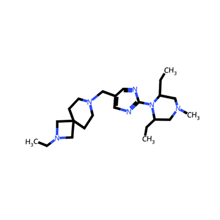 CCC1CN(C)CC(CC)N1c1ncc(CN2CCC3(CC2)CN(CC)C3)cn1